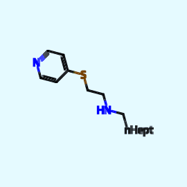 CCCCCCCCNCCSc1ccncc1